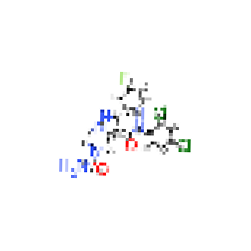 NC(=O)N1CCn2nc(-c3cccc(F)c3)c(C(=O)Nc3ccc(Cl)cc3Cl)c2C1